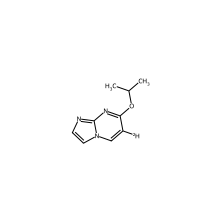 [2H]c1cn2ccnc2nc1OC(C)C